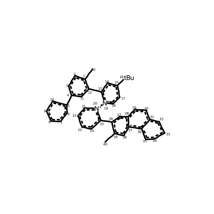 Cc1ccc(-c2ccccc2)cc1-c1cc(C(C)(C)C)cc[n+]1-[n+]1ccccc1-c1cc2ccc3ccccc3c2cc1C